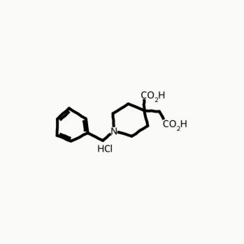 Cl.O=C(O)CC1(C(=O)O)CCN(Cc2ccccc2)CC1